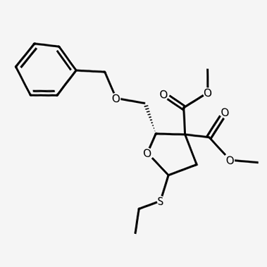 CCSC1CC(C(=O)OC)(C(=O)OC)[C@@H](COCc2ccccc2)O1